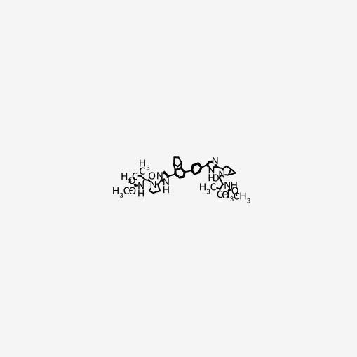 COC(=O)NC(C(=O)N1CCCC1c1ncc(-c2ccc(-c3ccc(-c4cnc(C5CC6CC6N5C(=O)C(NC(=O)OC)C(C)C)[nH]4)cc3)c3c2C2CCC3C2)[nH]1)C(C)C